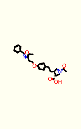 CC(=O)N1CC(CCc2ccc(OCCc3nc(-c4ccccc4)oc3C)cc2)[C@@H](C(=O)O)C1